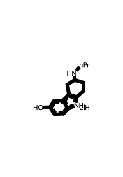 CCCNC1CCc2[nH]c3ccc(O)cc3c2C1.Cl